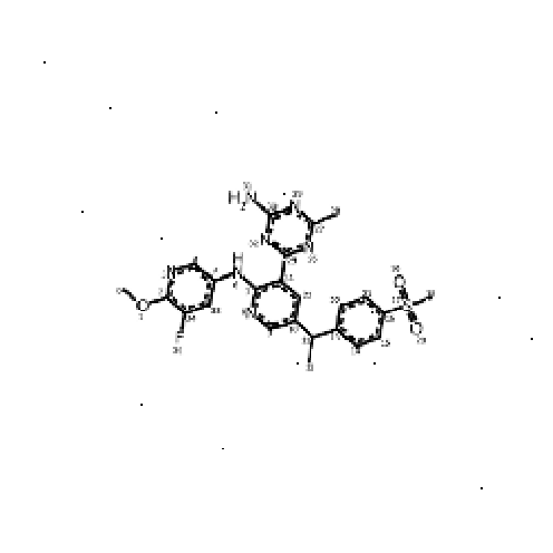 COc1ncc(Nc2ncc(C(C)c3ccc(S(C)(=O)=O)cc3)cc2-c2nc(C)nc(N)n2)cc1F